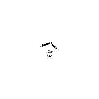 FOF.[Cu].[Mo]